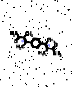 C/C(C(N)=O)=C(/C)c1ccc(/C(C)=C(\C)C(N)=O)cc1